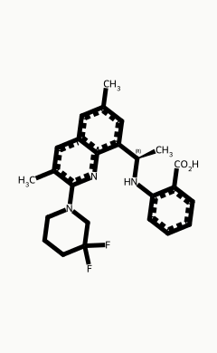 Cc1cc([C@@H](C)Nc2ccccc2C(=O)O)c2nc(N3CCCC(F)(F)C3)c(C)cc2c1